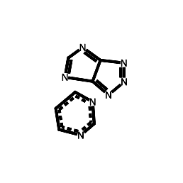 C1=NC2=NN=NC2=N1.c1cncnc1